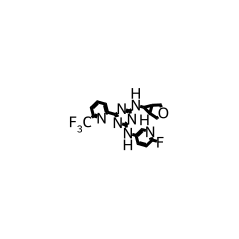 Fc1ccc(Nc2nc(NC3C4COC[C@@H]43)nc(-c3cccc(C(F)(F)F)n3)n2)cn1